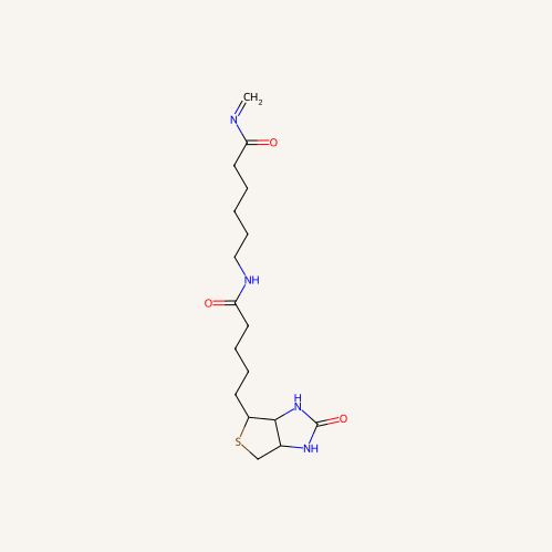 C=NC(=O)CCCCCNC(=O)CCCCC1SCC2NC(=O)NC21